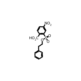 O=C(O)c1ccc([N+](=O)[O-])cc1S(=O)(=O)OCCc1ccccc1